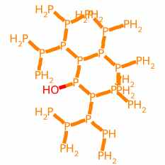 OP(P(P(P)P)P(PP)P(P)P)P(P(P(P)P)P(P)P)P(P(P)P)P(P)P